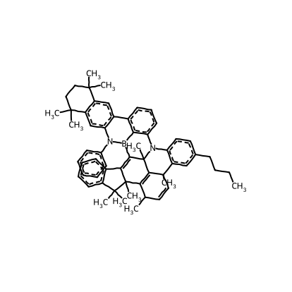 CCCCc1ccc2c(c1)C1(C)C=CC(C)C3=C1C1(C)C(=C4c5ccccc5C(C)(C)C43C)B3c4c(cccc4N21)-c1cc2c(cc1N3c1ccccc1)C(C)(C)CCC2(C)C